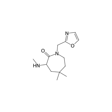 CNC1CC(C)(C)CCN(Cc2ncco2)C1=O